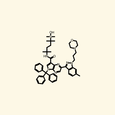 Cc1ccc2c(-c3cnc4c(n3)c(C(=O)NC(C)(C)CCC(C)(C)[Si](C)(C)O)cn4C(c3ccccc3)(c3ccccc3)c3ccccc3)nn(CCCN3CCOCC3)c2c1